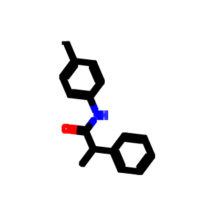 [CH2]c1ccc(NC(=O)C(C)c2ccccc2)cc1